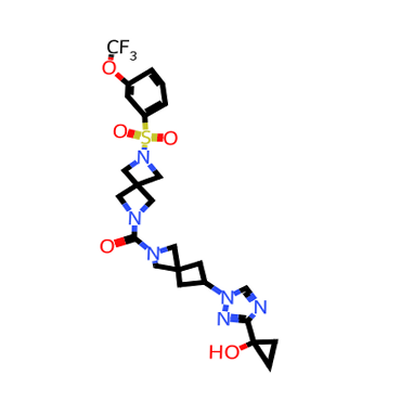 O=C(N1CC2(CC(n3cnc(C4(O)CC4)n3)C2)C1)N1CC2(C1)CN(S(=O)(=O)c1cccc(OC(F)(F)F)c1)C2